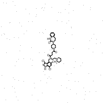 Cc1cc(Cl)c2[nH]nc(Cl)c2c1CN(CCN1CCCCC1)C(=O)CCC(=O)N1CCC(N2CCc3ccccc3NC2=O)CC1